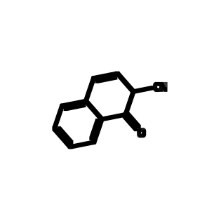 N#CC1C=Cc2ccccc2C1=O